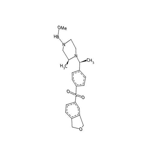 COBN1CCN([C@@H](C)c2ccc(S(=O)(=O)c3ccc4c(c3)COC4)cc2)[C@@H](C)C1